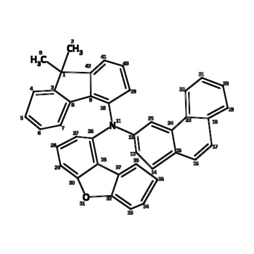 CC1(C)c2ccccc2-c2c(N(c3ccc4ccc5ccccc5c4c3)c3cccc4oc5ccccc5c34)cccc21